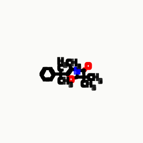 CC1=C(C(C)(C)c2ccccc2)OC2N1C(=O)C2(C)C